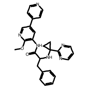 COc1ncc(-c2ccncc2)cc1NC(=O)C(Cc1ccccc1)NC1(c2ncccn2)CC1